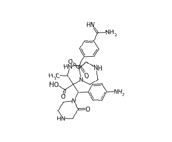 CC(NC(=O)c1ccc(C(=N)N)cc1)C(C(=O)O)(C(c1ccc(N)cc1)N1CCNCC1=O)N1CCNCC1=O